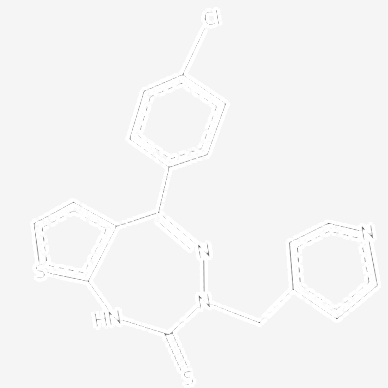 S=C1Nc2sccc2C(c2ccc(Cl)cc2)=NN1Cc1ccncc1